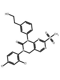 CS(=O)(=O)c1ncc2c(n1)N(c1cccc(CCO)c1)C(=O)N(c1ccc(Cl)cc1Cl)C2